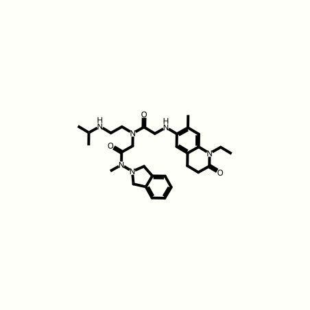 CCN1C(=O)CCc2cc(NCC(=O)N(CCNC(C)C)CC(=O)N(C)N3Cc4ccccc4C3)c(C)cc21